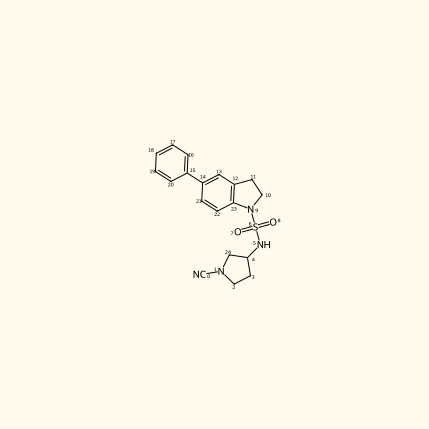 N#CN1CCC(NS(=O)(=O)N2CCc3cc(-c4ccccc4)ccc32)C1